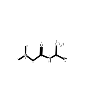 CC(C)C(NC(=O)CN(C)C)C(=O)O